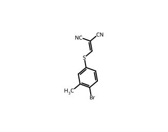 Cc1cc(SC=C(C#N)C#N)ccc1Br